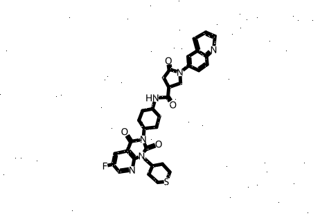 O=C(NC1CCC(n2c(=O)c3cc(F)cnc3n(C3CCSCC3)c2=O)CC1)C1CC(=O)N(c2ccc3ncccc3c2)C1